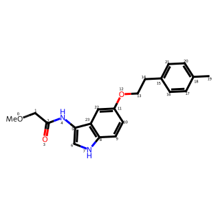 COCC(=O)Nc1c[nH]c2ccc(OCCc3ccc(C)cc3)cc12